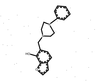 Oc1c(CN2CCN(c3ccccc3)CC2)ccc2ccoc12